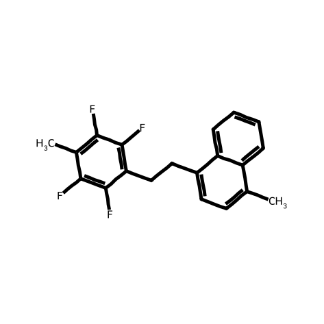 Cc1c(F)c(F)c(CCc2ccc(C)c3ccccc23)c(F)c1F